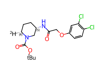 [2H][C@@H]1CC[C@H](NC(=O)COc2ccc(Cl)c(Cl)c2)CN1C(=O)OC(C)(C)C